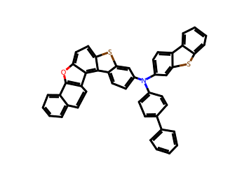 c1ccc(-c2ccc(N(c3ccc4c(c3)sc3ccccc34)c3ccc4c(c3)sc3ccc5oc6c7ccccc7ccc6c5c34)cc2)cc1